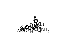 CCOc1c(CC(N)=O)cc([C@@](O)(CNC(=O)c2ccc(-c3nncs3)c(OC)c2)C(F)(F)F)nc1-c1ccc(F)cc1